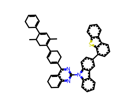 CC1=C(C2=CC=C(c3nc(-n4c5ccccc5c5cc(-c6cccc7c6sc6ccccc67)ccc54)nc4c3=CCCC=4)CC2)CC(C)C(C2=CC=CCC2)=C1